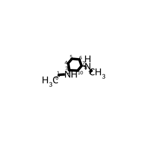 CCN[C@H]1CCC[C@@H](NC)C1